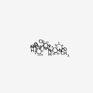 CN1C(=O)CCCc2cc(Nc3ncc(Cl)c([AsH]C4CCCCC4C(N)=O)n3)ccc21